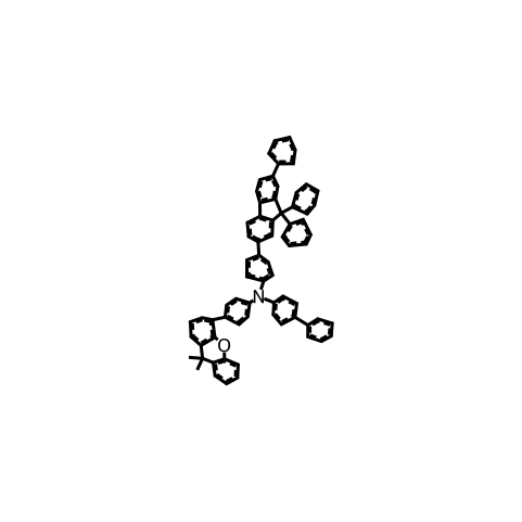 CC1(C)c2ccccc2Oc2c(-c3ccc(N(c4ccc(-c5ccccc5)cc4)c4ccc(-c5ccc6c(c5)C(c5ccccc5)(c5ccccc5)c5cc(-c7ccccc7)ccc5-6)cc4)cc3)cccc21